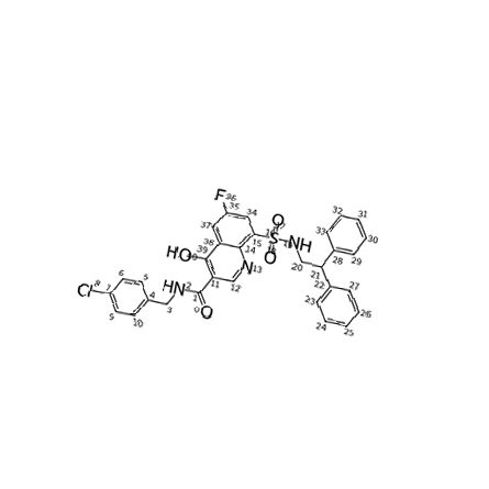 O=C(NCc1ccc(Cl)cc1)c1cnc2c(S(=O)(=O)NCC(c3ccccc3)c3ccccc3)cc(F)cc2c1O